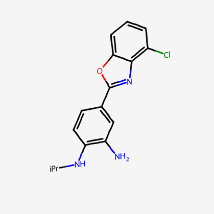 CC(C)Nc1ccc(-c2nc3c(Cl)cccc3o2)cc1N